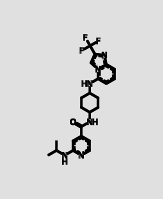 CC(C)Nc1cc(C(=O)NC2CCC(Nc3cccc4nc(C(F)(F)F)cn34)CC2)ccn1